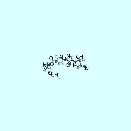 COCC1(NOC(=O)c2ccc(-n3ncc(-c4ccc(C#N)cc4C)c3O)nc2)CC1